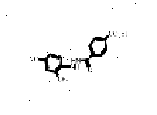 CCOC(=O)c1ccc(C(=O)NNc2ccc(C#N)cc2C(F)(F)F)cc1